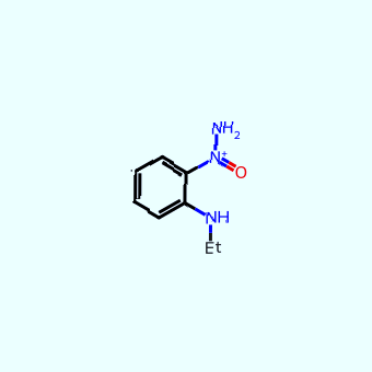 CCNc1cc[c]cc1[N+](N)=O